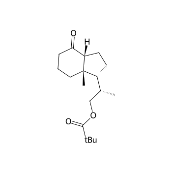 C[C@H](COC(=O)C(C)(C)C)[C@H]1CC[C@H]2C(=O)CCC[C@@]12C